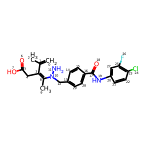 C=C(C)/C(CC(=O)O)=C(/C)N(N)Cc1ccc(C(=O)Nc2ccc(Cl)c(F)c2)cc1